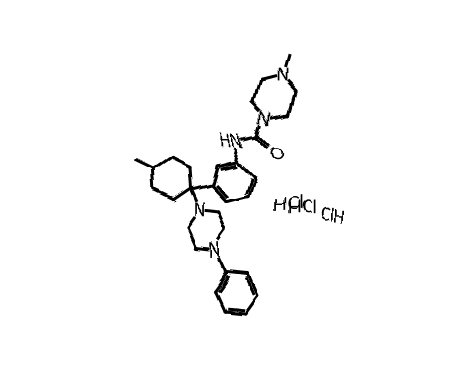 CC1CCC(c2cccc(NC(=O)N3CCN(C)CC3)c2)(N2CCN(c3ccccc3)CC2)CC1.Cl.Cl.Cl